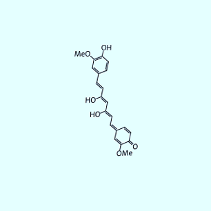 COC1=C/C(=C/C=C(O)/C=C(O)/C=C/c2ccc(O)c(OC)c2)C=CC1=O